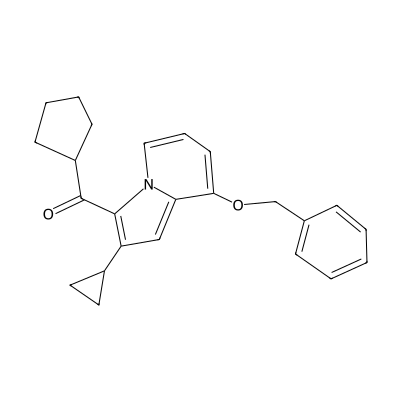 O=C(c1c(C2CC2)cc2c(OCc3ccccc3)cccn12)C1CCCC1